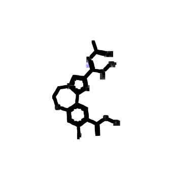 C=C(OCC)c1cc2c(cc1F)OCCn1cc(/C(=N/C(C)=N)NC(C)C)nc1-2